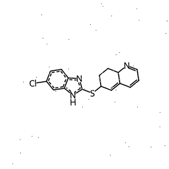 Clc1ccc2nc(SC3C=C4C=CC=NC4CC3)[nH]c2c1